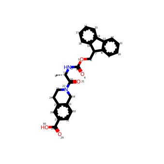 C[C@H](NC(=O)OCC1c2ccccc2-c2ccccc21)C(=O)N1CCc2cc(C(=O)O)ccc2C1